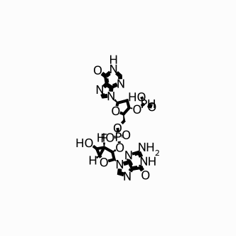 Nc1nc2c(ncn2[C@@H]2O[C@@H]3C(O)[C@]3(F)[C@H]2OP(=O)(O)OC[C@H]2O[C@@H](n3cnc4c(=O)[nH]cnc43)C[C@@H]2O[PH](=O)O)c(=O)[nH]1